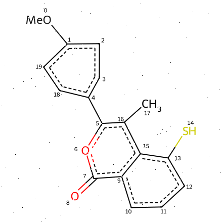 COc1ccc(-c2oc(=O)c3cccc(S)c3c2C)cc1